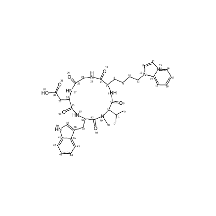 CC(C)C1C(=O)NC(CCCCn2cc[n+]3ccccc23)C(=O)NCC(=O)NC(CC(=O)O)C(=O)NC(Cc2c[nH]c3ccccc23)C(=O)N1C